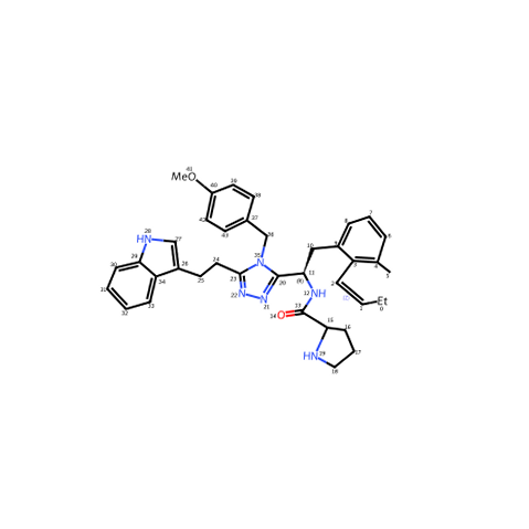 CC/C=C\c1c(C)cccc1C[C@@H](NC(=O)C1CCCN1)c1nnc(CCc2c[nH]c3ccccc23)n1Cc1ccc(OC)cc1